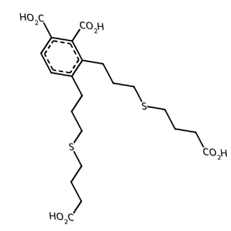 O=C(O)CCCSCCCc1ccc(C(=O)O)c(C(=O)O)c1CCCSCCCC(=O)O